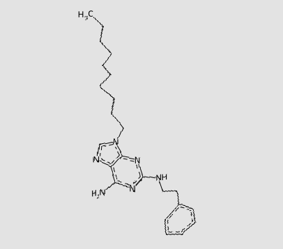 CCCCCCCCCCn1cnc2c(N)nc(NCCc3ccccc3)nc21